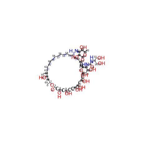 CC1OC(=O)C[C@H](O)C[C@H](O)CC[C@@H](O)[C@H](O)C[C@H](O)C[C@]2(O)C[C@H](O)[C@@H](NC(=O)NC(CO)CO)[C@H](C[C@@H](O[C@@H]3O[C@H](C)[C@@H](O)[C@H](N)[C@@H]3O)/C=C/C=C/C=C/C=C/C=C/C=C/C=C/[C@H](C)[C@@H](O)[C@H]1C)O2